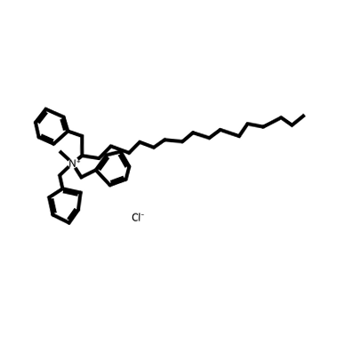 CCCCCCCCCCCCCCCCC(Cc1ccccc1)[N+](C)(Cc1ccccc1)Cc1ccccc1.[Cl-]